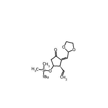 C=C[C@@H]1/C(=C/C2OCCO2)C(=O)CC1O[Si](C)(C)C(C)(C)C